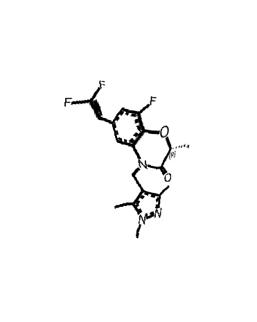 Cc1nn(C)c(C)c1CN1C(=O)[C@@H](C)Oc2c(F)cc(C=C(F)F)cc21